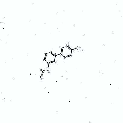 Cc1cnc(-c2cccc(OC=O)c2)cn1